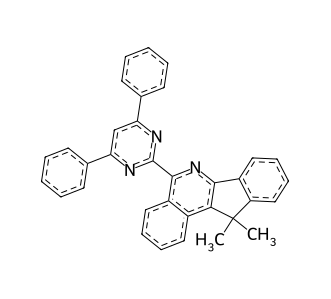 CC1(C)c2ccccc2-c2nc(-c3nc(-c4ccccc4)cc(-c4ccccc4)n3)c3ccccc3c21